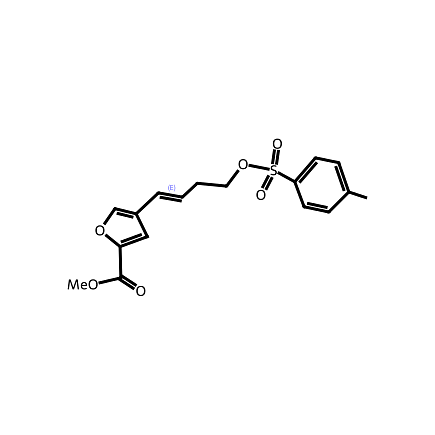 COC(=O)c1cc(/C=C/CCOS(=O)(=O)c2ccc(C)cc2)co1